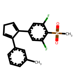 Cc1cccc(C2=CCC=C2c2cc(F)c(S(C)(=O)=O)c(F)c2)c1